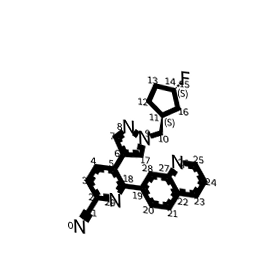 N#Cc1ccc(-c2cnn(C[C@H]3CC[C@H](F)C3)c2)c(-c2ccc3cccnc3c2)n1